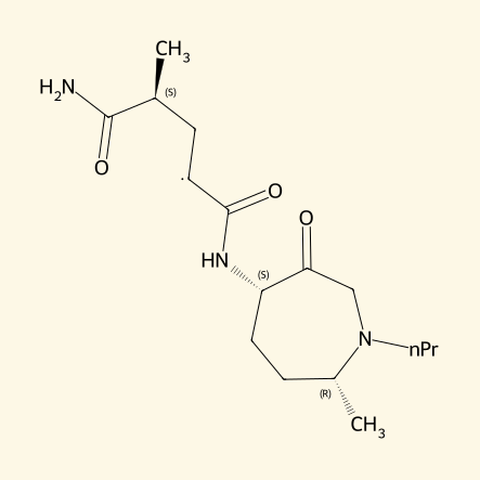 CCCN1CC(=O)[C@@H](NC(=O)[CH]C[C@H](C)C(N)=O)CC[C@H]1C